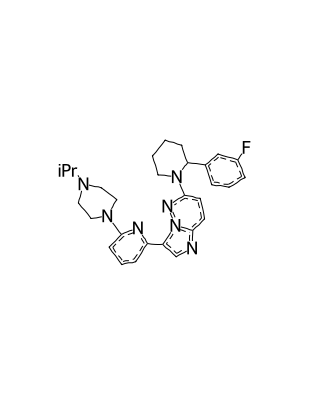 CC(C)N1CCN(c2cccc(-c3cnc4ccc(N5CCCCC5c5cccc(F)c5)nn34)n2)CC1